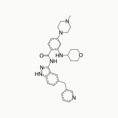 CN1CCN(c2ccc(C(=O)Nc3n[nH]c4ccc(Cc5cccnc5)cc34)c(NC3CCOCC3)c2)CC1